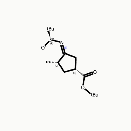 C[C@H]1C[C@@H](C(=O)OC(C)(C)C)C/C1=N/[S@@+]([O-])C(C)(C)C